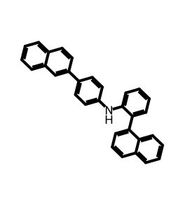 c1ccc(-c2cccc3ccccc23)c(Nc2ccc(-c3ccc4ccccc4c3)cc2)c1